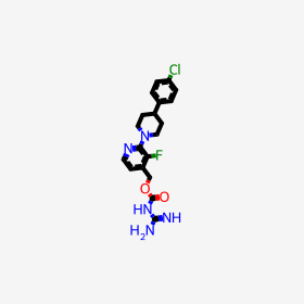 N=C(N)NC(=O)OCc1ccnc(N2CCC(c3ccc(Cl)cc3)CC2)c1F